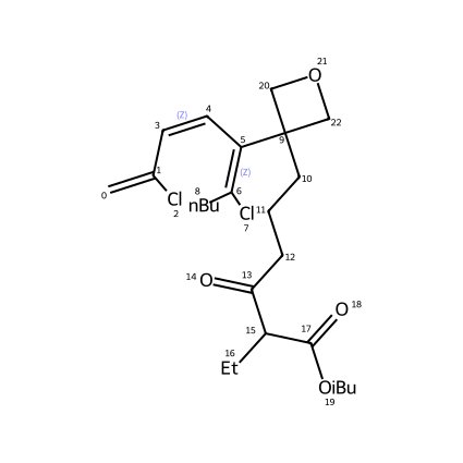 C=C(Cl)/C=C\C(=C(\Cl)CCCC)C1(CCCC(=O)C(CC)C(=O)OCC(C)C)COC1